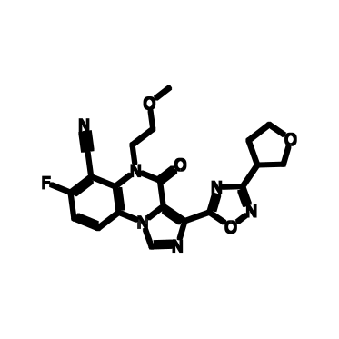 COCCn1c(=O)c2c(-c3nc(C4CCOC4)no3)ncn2c2ccc(F)c(C#N)c21